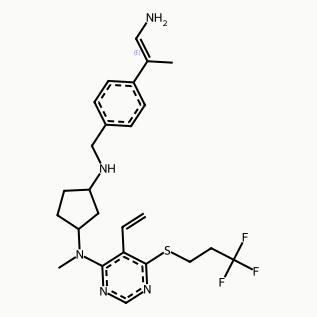 C=Cc1c(SCCC(F)(F)F)ncnc1N(C)C1CCC(NCc2ccc(/C(C)=C/N)cc2)C1